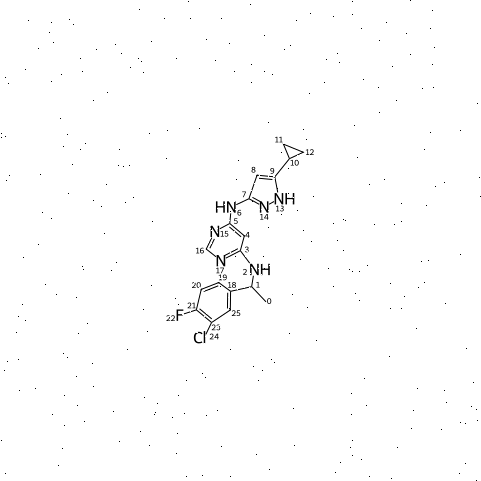 CC(Nc1cc(Nc2cc(C3CC3)[nH]n2)ncn1)c1ccc(F)c(Cl)c1